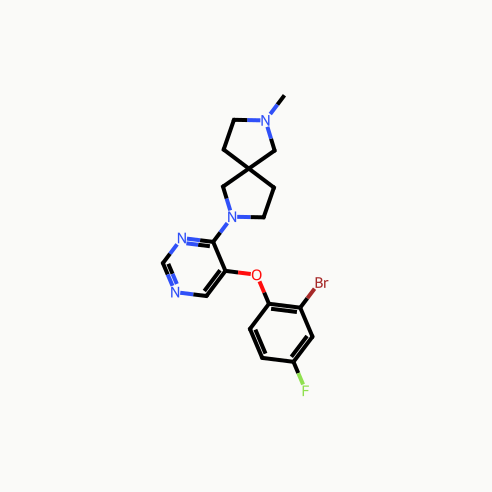 CN1CCC2(CCN(c3ncncc3Oc3ccc(F)cc3Br)C2)C1